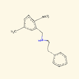 Cc1ccc([N+](=O)[O-])c(CNCCc2ccccc2)c1